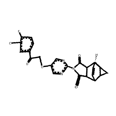 O=C(COc1cnc(N2C(=O)C3C4C=C[C@H](C5CC45)C3C2=O)nc1)c1ccc(F)c(Cl)c1